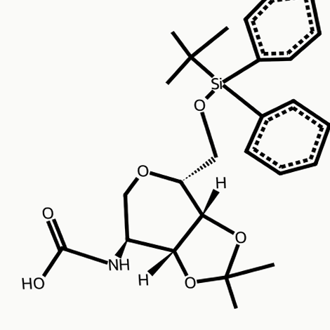 CC1(C)O[C@@H]2[C@H](O1)[C@@H](NC(=O)O)CO[C@@H]2CO[Si](c1ccccc1)(c1ccccc1)C(C)(C)C